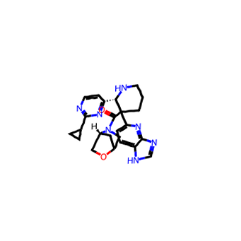 O=C(N1CC2C[C@@H]1CO2)C1(c2ccc3[nH]cnc3n2)CCCN[C@H]1c1ccnc(C2CC2)n1